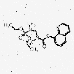 CCOP(=O)(OCC)N(C)SN(C)C(=O)Oc1cccc2cccnc12